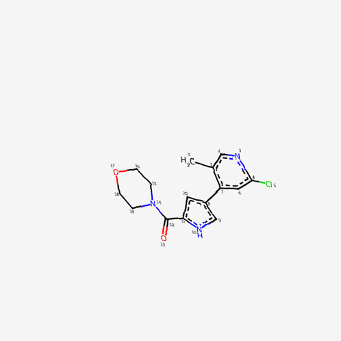 Cc1cnc(Cl)cc1-c1c[nH]c(C(=O)N2CCOCC2)c1